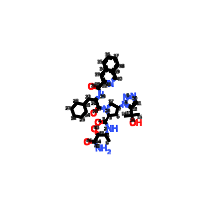 CC(NC(=O)[C@@H]1C[C@H](n2nncc2C(C)(C)O)CN1C(=O)/C(CC1CCCCC1)=N/C(=O)c1cc2ccccc2cn1)C(=O)C(N)=O